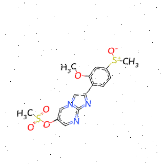 COc1cc([S+](C)[O-])ccc1-c1cn2cc(OS(C)(=O)=O)cnc2n1